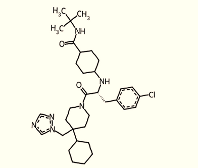 CC(C)(C)NC(=O)C1CCC(N[C@H](Cc2ccc(Cl)cc2)C(=O)N2CCC(Cn3cncn3)(C3CCCCC3)CC2)CC1